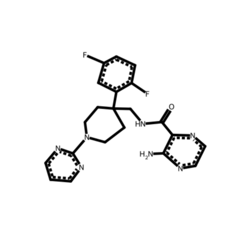 Nc1nccnc1C(=O)NCC1(c2cc(F)ccc2F)CCN(c2ncccn2)CC1